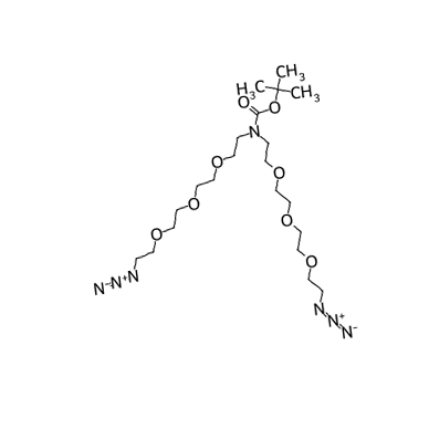 CC(C)(C)OC(=O)N(CCOCCOCCOCCN=[N+]=[N-])CCOCCOCCOCCN=[N+]=[N-]